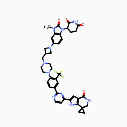 Cn1c(=O)n(C2CCC(=O)NC2=O)c2ccc(N3CC(CN4CCN(c5ccc(-c6nccc(-c7cc8c([nH]7)C7(CC7)CNC8=O)n6)cc5C(F)(F)F)CC4)C3)cc21